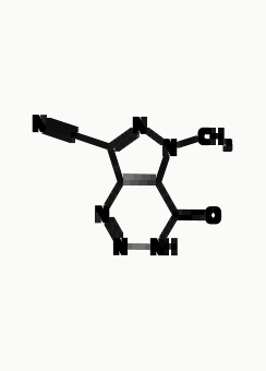 Cn1nc(C#N)c2nn[nH]c(=O)c21